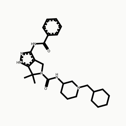 CC1(C)c2[nH]nc(NC(=O)c3ccccc3)c2CN1C(=O)NC1CCCN(CC2CCCCC2)C1